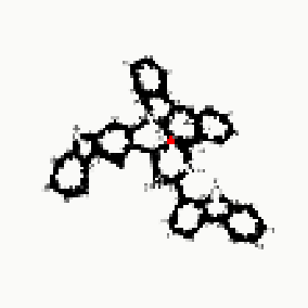 c1ccc(-c2nc(-c3cc4c(cc3-n3c5ccccc5c5ccccc53)oc3ccccc34)nc(-c3cccc4c3oc3ccccc34)n2)cc1